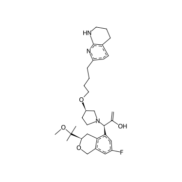 C=C(O)[C@@H](c1cc(F)cc2c1C[C@H](C(C)(C)OC)OC2)N1CC[C@@H](OCCCCc2ccc3c(n2)NCCC3)C1